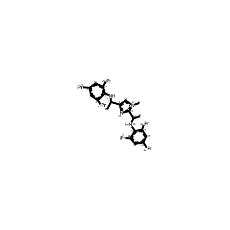 CC(C)c1cc(C(C)C)c(NC(C)c2cn(C)c(C(C)Nc3c(C(C)C)cc(C(C)C)cc3C(C)C)n2)c(C(C)C)c1